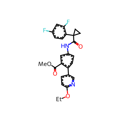 CCOc1ccc(-c2ccc(NC(=O)C3(c4ccc(F)cc4F)CC3)cc2C(=O)OC)cn1